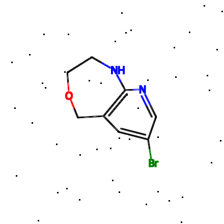 Brc1cnc2c(c1)COCCN2